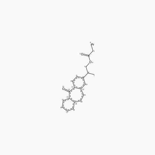 CC(C)CC(=O)OCC(C)c1ccc2c(=O)c3ccccc3ccc2c1